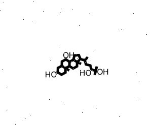 CC(CCC(O)C(C)(C)O)C1CCC2C3C(O)CC4CC(O)CCC4(C)C3CCC12C